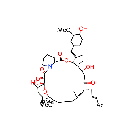 CO[C@H]1C[C@@H](C)C/C(C)=C/[C@@H](C/C=C/C(C)=O)C(=O)C[C@H](O)[C@@H](C)[C@@H](/C(C)=C/[C@@H]2CC[C@@H](O)[C@H](OC)C2)OC(=O)C2CCCCN2C(=O)C(=O)[C@]2(O)O[C@H]1[C@@H](OC)C[C@H]2C